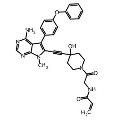 C=CC(=O)NCC(=O)N1CCC(O)(C#Cc2c(-c3ccc(Oc4ccccc4)cc3)c3c(N)ncnc3n2C)CC1